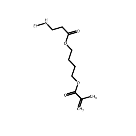 C=C(C)C(=O)OCCCCOC(=O)CCNCC